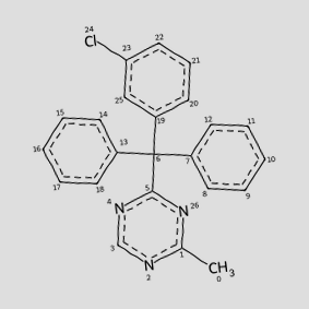 Cc1ncnc(C(c2ccccc2)(c2ccccc2)c2cccc(Cl)c2)n1